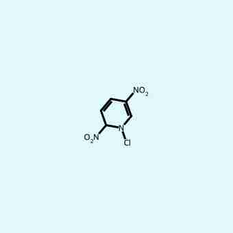 O=[N+]([O-])C1=CN(Cl)C([N+](=O)[O-])C=C1